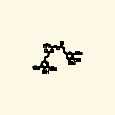 CCCC(COC(=O)CCc1cc(C(C)(C)C)c(O)c(C(C)(C)C)c1)OC(=O)CCc1cc(C(C)(C)C)c(O)c(C(C)(C)C)c1